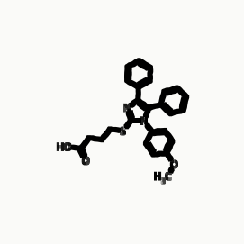 COc1ccc(-n2c(SCCCC(=O)O)nc(-c3ccccc3)c2-c2ccccc2)cc1